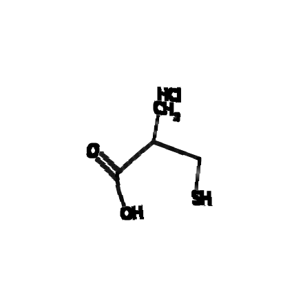 CC(CS)C(=O)O.Cl